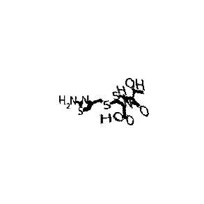 CC(O)[C@H]1C(=O)N2C(C(=O)O)=C(SCc3csc(N)n3)S[C@H]12